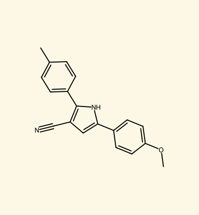 COc1ccc(-c2cc(C#N)c(-c3ccc(C)cc3)[nH]2)cc1